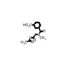 Cc1noc(CN(C)C(=O)c2cccc(C(=O)O)c2)n1